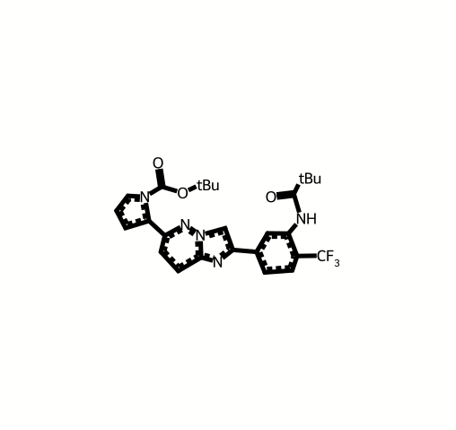 CC(C)(C)OC(=O)n1cccc1-c1ccc2nc(-c3ccc(C(F)(F)F)c(NC(=O)C(C)(C)C)c3)cn2n1